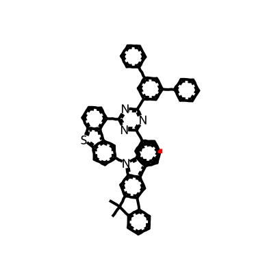 CC1(C)c2ccccc2-c2cc3c4ccccc4n(-c4ccc5sc6cccc(-c7nc(-c8ccccc8)nc(-c8cc(-c9ccccc9)cc(-c9ccccc9)c8)n7)c6c5c4)c3cc21